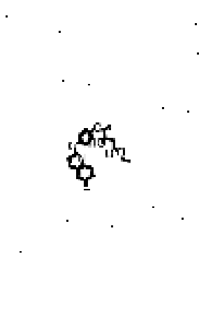 CCOC(=O)CC(O)C(C)Oc1ccc(Oc2ccc3cc(F)ccc3n2)cc1